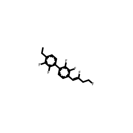 CCc1ccc(-c2ccc(/C=C(\F)CCF)c(F)c2F)c(F)c1F